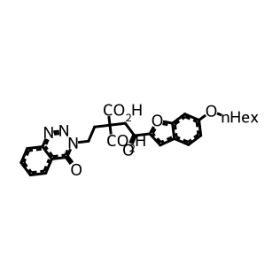 CCCCCCOc1ccc2cc(C(=O)CC(CCn3nnc4ccccc4c3=O)(C(=O)O)C(=O)O)oc2c1